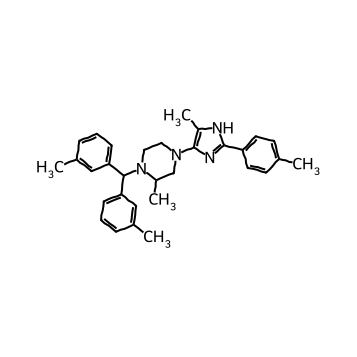 Cc1ccc(-c2nc(N3CCN(C(c4cccc(C)c4)c4cccc(C)c4)C(C)C3)c(C)[nH]2)cc1